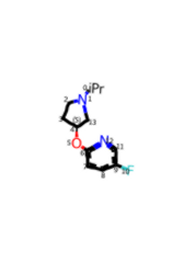 CC(C)N1CC[C@H](Oc2ccc(F)cn2)C1